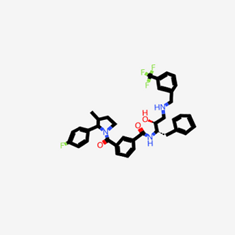 CC1CCN(C(=O)c2cccc(C(=O)N[C@@H](Cc3ccccc3)[C@@H](O)CNCc3cccc(C(F)(F)F)c3)c2)C1c1ccc(F)cc1